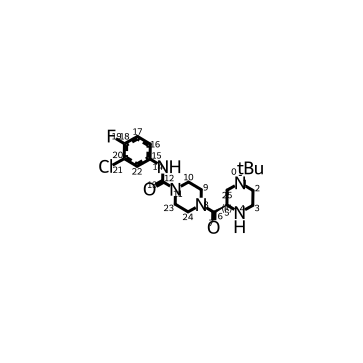 CC(C)(C)N1CCN[C@@H](C(=O)N2CCN(C(=O)Nc3ccc(F)c(Cl)c3)CC2)C1